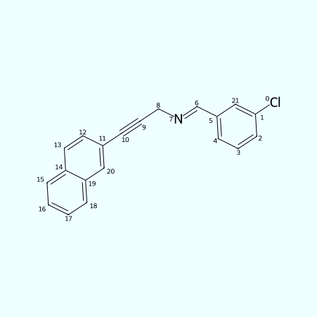 Clc1cccc(C=NCC#Cc2ccc3ccccc3c2)c1